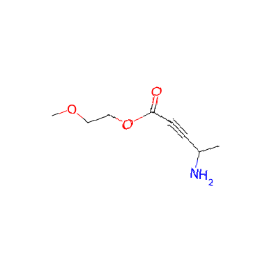 COCCOC(=O)C#CC(C)N